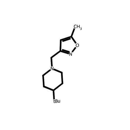 Cc1cc(CN2CCC(C(C)(C)C)CC2)no1